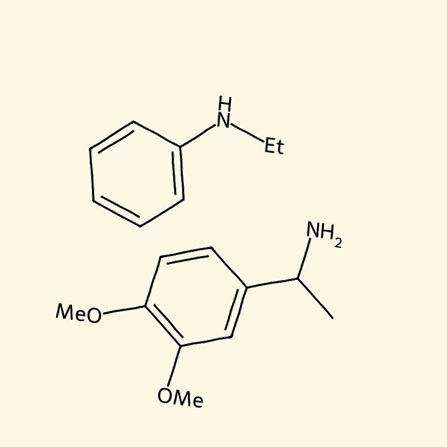 CCNc1ccccc1.COc1ccc(C(C)N)cc1OC